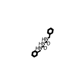 O=C(NCc1ccccc1)NC(=O)NCc1ccccc1